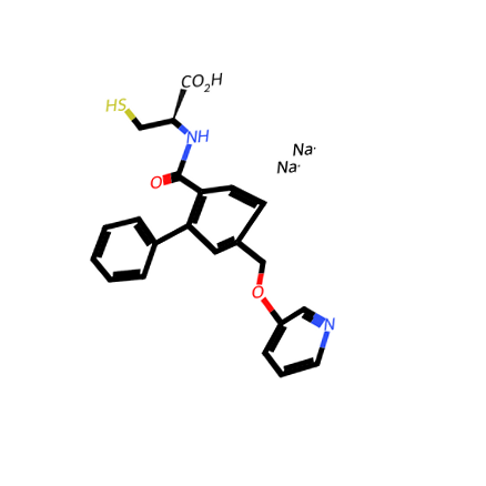 O=C(N[C@@H](CS)C(=O)O)c1ccc(COc2cccnc2)cc1-c1ccccc1.[Na].[Na]